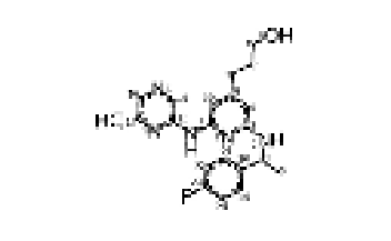 CC(Nc1cc(CCCO)cc(Nc2cnccn2)n1)c1ccc(F)cc1.Cl